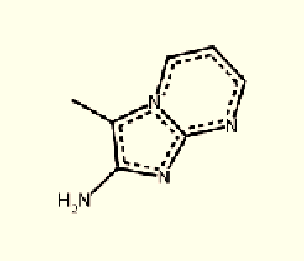 Cc1c(N)nc2ncccn12